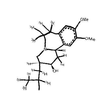 [2H]C1([2H])[C@@H](O)[C@@]([2H])(C([2H])([2H])C([2H])(C)C([2H])([2H])[2H])CN2[C@@H]1c1cc(OC)c(OC)cc1C([2H])([2H])C2([2H])[2H]